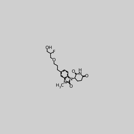 Cn1c(=O)n(C2CCC(=O)NC2=O)c2ccc(CCCOCC(F)CO)cc21